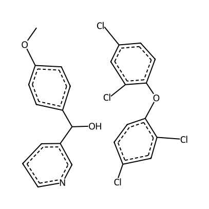 COc1ccc(C(O)c2cccnc2)cc1.Clc1ccc(Oc2ccc(Cl)cc2Cl)c(Cl)c1